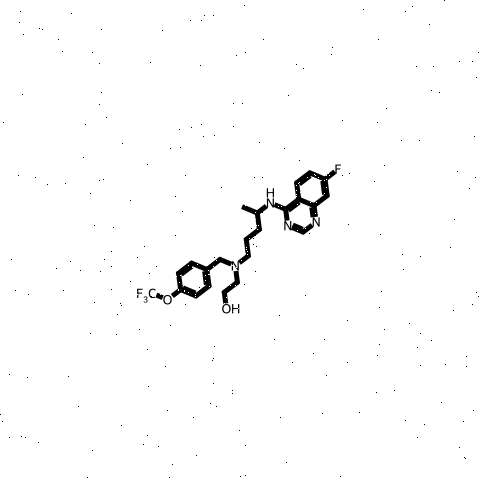 CC(CCCN(CCO)Cc1ccc(OC(F)(F)F)cc1)Nc1ncnc2cc(F)ccc12